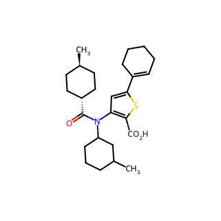 CC1CCCC(N(c2cc(C3=CCCCC3)sc2C(=O)O)C(=O)[C@H]2CC[C@H](C)CC2)C1